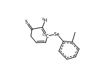 [2H]C1=[13C]([Se]c2ccccc2C)C=CCC1=S